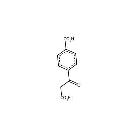 CCOC(=O)CC(=O)c1ccc(C(=O)O)cc1